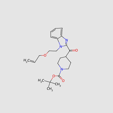 C=CCOCCn1c(C(=O)C2CCN(C(=O)OC(C)(C)C)CC2)nc2ccccc21